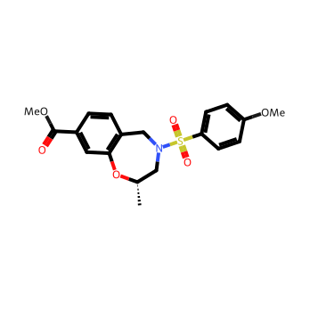 COC(=O)c1ccc2c(c1)O[C@@H](C)CN(S(=O)(=O)c1ccc(OC)cc1)C2